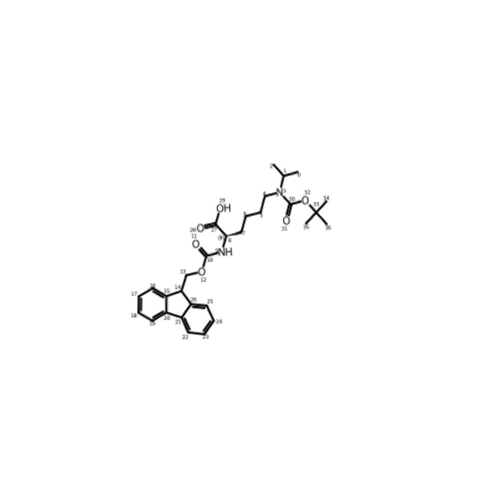 CC(C)N(CCCC[C@@H](NC(=O)OCC1c2ccccc2-c2ccccc21)C(=O)O)C(=O)OC(C)(C)C